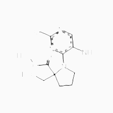 CCC1(C(=O)OC)CCCN1c1nc(Cl)ncc1N